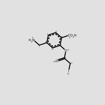 NCc1ccc(C(=O)O)c(OC(=O)CI)c1